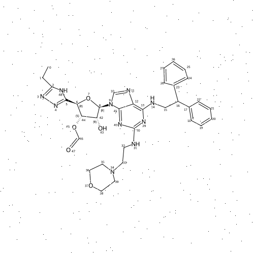 CCc1nnc([C@H]2O[C@@H](n3cnc4c(NCC(c5ccccc5)c5ccccc5)nc(NCCN5CCOCC5)nc43)[C@H](O)[C@@H]2OC=O)[nH]1